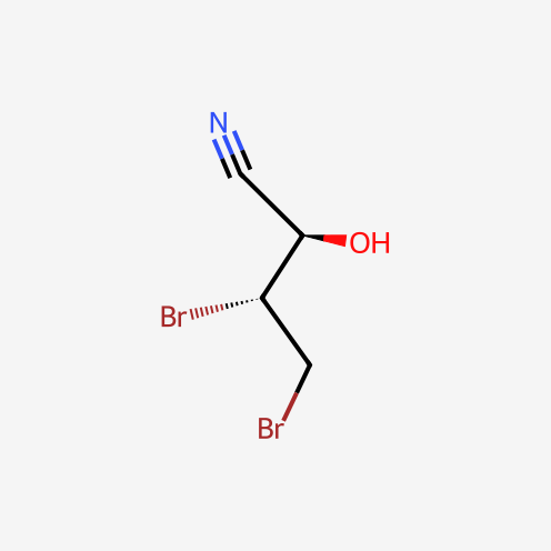 N#C[C@@H](O)[C@@H](Br)CBr